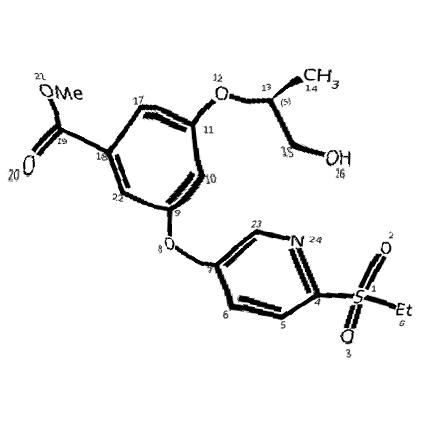 CCS(=O)(=O)c1ccc(Oc2cc(O[C@@H](C)CO)cc(C(=O)OC)c2)cn1